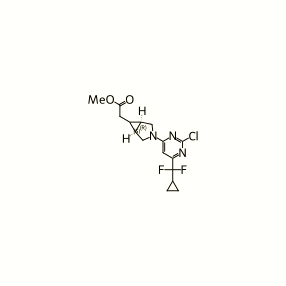 COC(=O)CC1[C@H]2CN(c3cc(C(F)(F)C4CC4)nc(Cl)n3)C[C@@H]12